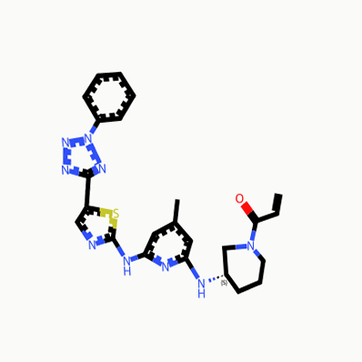 C=CC(=O)N1CCC[C@H](Nc2cc(C)cc(Nc3ncc(-c4nnn(-c5ccccc5)n4)s3)n2)C1